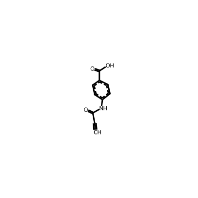 C#CC(=O)Nc1ccc(C(=O)O)cc1